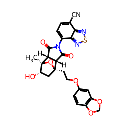 C[C@]12O[C@](CCOc3ccc4c(c3)OCO4)(C[C@@H]1O)[C@H]1C(=O)N(c3ccc(C#N)c4nsnc34)C(=O)[C@H]12